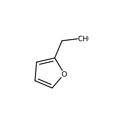 [CH]Cc1ccco1